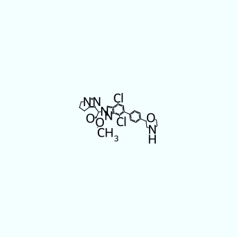 CCOC(=O)C(c1ncn2c1CCC2)n1cc2c(Cl)cc(-c3ccc(C4CNCCO4)cc3)c(Cl)c2n1